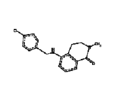 CN1CCc2c(NCc3ccc(Cl)cc3)cccc2C1=O